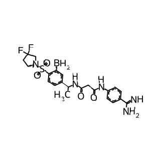 Bc1cc(C(C)NC(=O)CC(=O)Nc2ccc(C(=N)N)cc2)ccc1S(=O)(=O)N1CCC(F)(F)C1